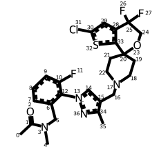 CC(=O)N(C)Cc1cccc(F)c1-n1cc(CN2CCC3(CC2)OCC(F)(F)c2cc(Cl)sc23)c(C)n1